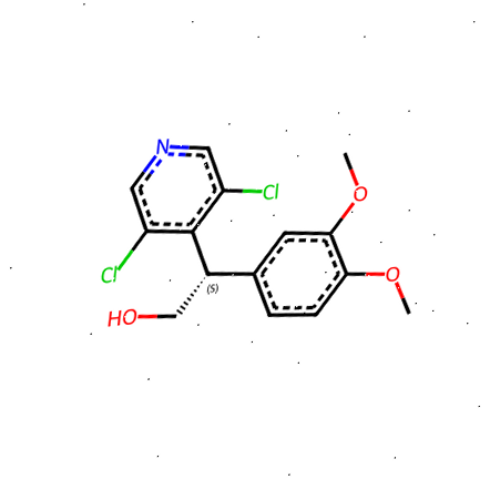 COc1ccc([C@H](CO)c2c(Cl)cncc2Cl)cc1OC